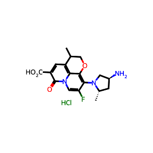 CC1COc2c(N3C[C@@H](N)C[C@@H]3C)c(F)cn3c(=O)c(C(=O)O)cc1c23.Cl